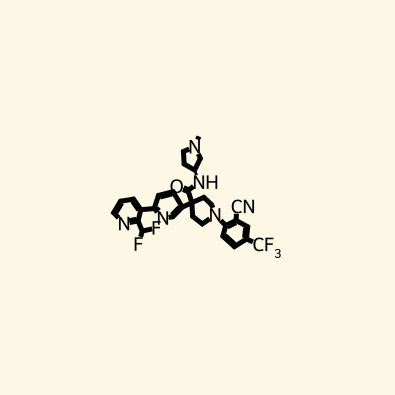 CN1CC[C@H](NC(=O)C2(c3ccc(-c4cccnc4C(F)F)nc3)CCN(c3ccc(C(F)(F)F)cc3C#N)CC2)C1